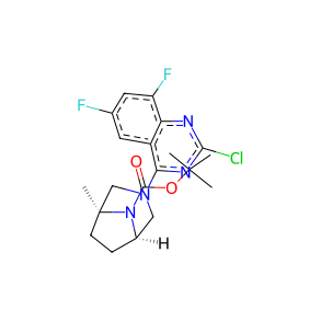 CC(C)(C)OC(=O)N1[C@@H]2CC[C@@]1(C)CN(c1nc(Cl)nc3c(F)cc(F)cc13)C2